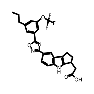 CCCc1cc(OC(F)(F)F)cc(-c2nc(-c3ccc4[nH]c5c(c4c3)CCC5CC(=O)O)no2)c1